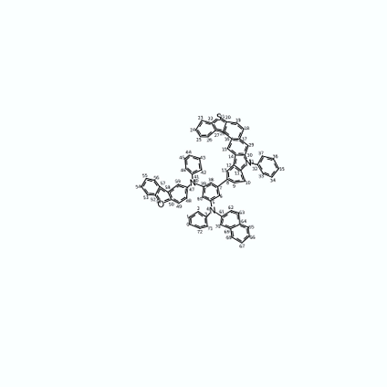 c1ccc(N(c2cc(-c3ccc4c(c3)c3cc5c(ccc6sc7ccccc7c65)cc3n4-c3ccccc3)cc(N(c3ccccc3)c3ccc4oc5ccccc5c4c3)c2)c2ccc3ccccc3c2)cc1